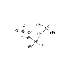 CCC[N+](C)(CCC)CCC.CCC[N+](C)(CCC)CCC.O=S(=O)([O-])[O-]